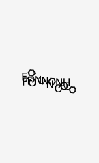 O=C(Nc1ccc(N2CCN(C(=O)c3ccccc3C(F)(F)F)CC2)nc1)OCc1ccccc1